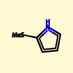 [C]Sc1ccc[nH]1